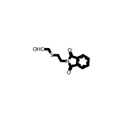 O=CCSCCN1C(=O)c2ccccc2C1=O